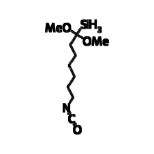 COC([SiH3])(CCCCCCN=C=O)OC